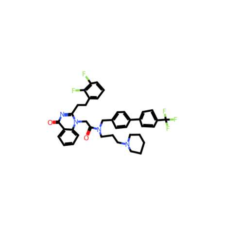 O=C(Cn1c(CCc2cccc(F)c2F)nc(=O)c2ccccc21)N(CCCN1CCCCC1)Cc1ccc(-c2ccc(C(F)(F)F)cc2)cc1